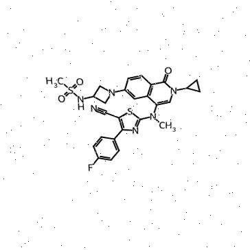 CN(c1nc(-c2ccc(F)cc2)c(C#N)s1)c1cn(C2CC2)c(=O)c2ccc(N3CC(NS(C)(=O)=O)C3)cc12